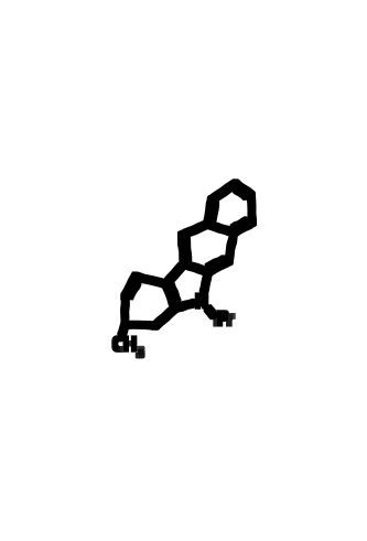 CC1C=Cc2c(n(C(C)C)c3cc4ccccc4cc23)C1